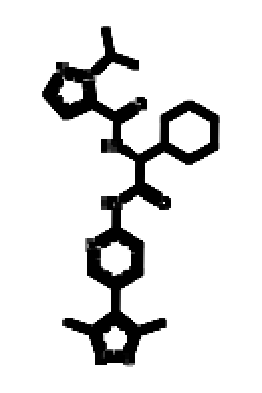 Cc1noc(C)c1-c1ccc(NC(=O)[C@@H](NC(=O)c2ccnn2C(C)C)C2CCCCC2)nc1